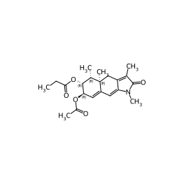 CCC(=O)O[C@H]1[C@H](OC(C)=O)C=C2C=C3C(=C(C)C(=O)N3C)C[C@]2(C)[C@H]1C